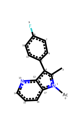 CC(=O)n1c(C)c(-c2ccc(F)cc2)c2ncccc21